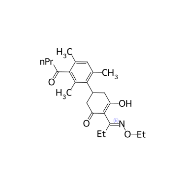 CCCC(=O)c1c(C)cc(C)c(C2CC(=O)C(/C(CC)=N/OCC)=C(O)C2)c1C